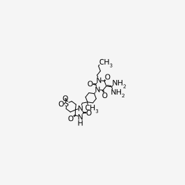 CCCCN1C(=O)C(=C(N)N)C(=O)N(C2CCC(C)(CN3C(=O)NC(=O)C34CCS(=O)(=O)CC4)CC2)C1=O